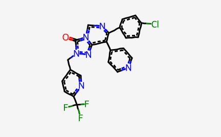 O=c1n(Cc2ccc(C(F)(F)F)nc2)nc2c(-c3ccncc3)c(-c3ccc(Cl)cc3)ncn12